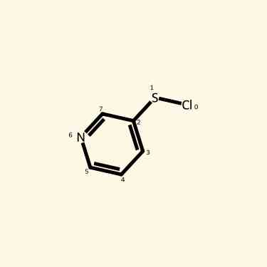 ClSc1cccnc1